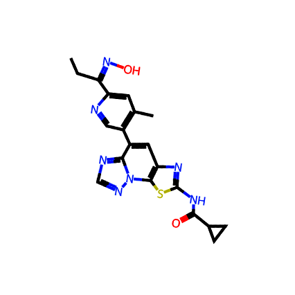 CC/C(=N/O)c1cc(C)c(-c2cc3nc(NC(=O)C4CC4)sc3n3ncnc23)cn1